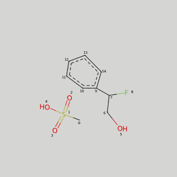 CS(=O)(=O)O.OCC(F)c1ccccc1